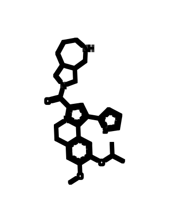 COc1cc2c(cc1OC(C)C)-c1c(-c3cccs3)cc(C(=O)N3CC4CCCNCC4C3)n1CC2